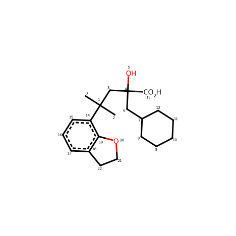 CC(C)(CC(O)(CC1CCCCC1)C(=O)O)c1cccc2c1OCC2